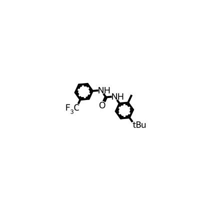 Cc1cc(C(C)(C)C)ccc1NC(=O)Nc1cccc(C(F)(F)F)c1